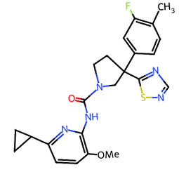 COc1ccc(C2CC2)nc1NC(=O)N1CCC(c2ccc(C)c(F)c2)(c2ncns2)C1